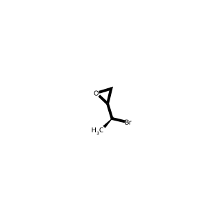 C[C@H](Br)C1CO1